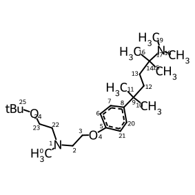 CN(CCOc1ccc(C(C)(C)CCC(C)(C)N(C)C)cc1)CCOC(C)(C)C